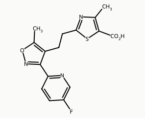 Cc1nc(CCc2c(-c3ccc(F)cn3)noc2C)sc1C(=O)O